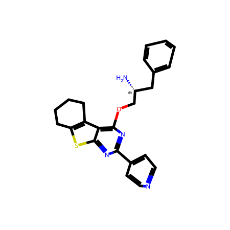 N[C@@H](COc1nc(-c2ccncc2)nc2sc3c(c12)CCCC3)Cc1ccccc1